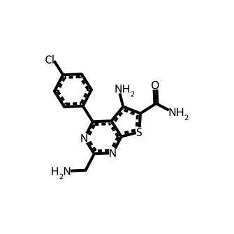 NCc1nc(-c2ccc(Cl)cc2)c2c(N)c(C(N)=O)sc2n1